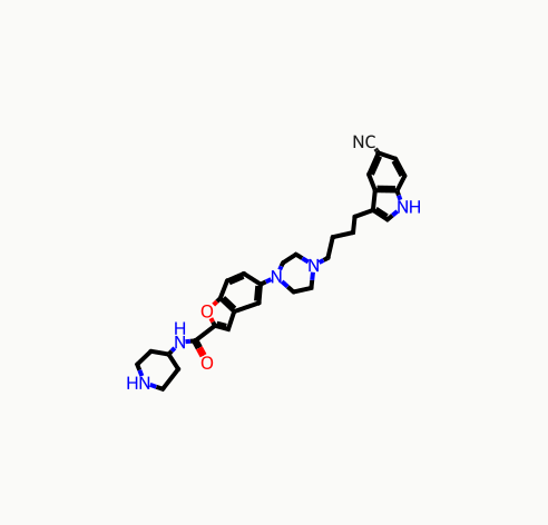 N#Cc1ccc2[nH]cc(CCCCN3CCN(c4ccc5oc(C(=O)NC6CCNCC6)cc5c4)CC3)c2c1